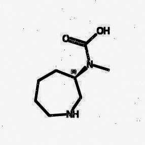 CN(C(=O)O)[C@@H]1CCCCNC1